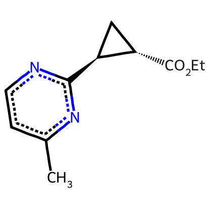 CCOC(=O)[C@H]1C[C@@H]1c1nccc(C)n1